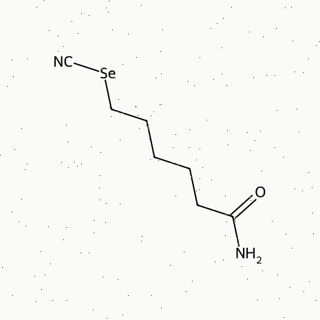 N#C[Se]CCCCCC(N)=O